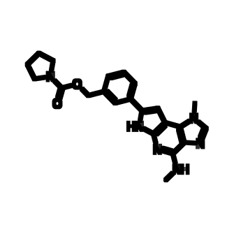 CNc1nc2[nH]c(-c3cccc(COC(=O)N4CCCC4)c3)cc2c2c1ncn2C